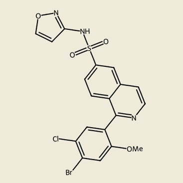 COc1cc(Br)c(Cl)cc1-c1nccc2cc(S(=O)(=O)Nc3ccon3)ccc12